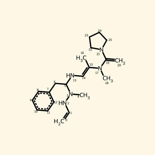 C=CNN(C)C(Cc1ccccc1)N/C=C(\C)N(C)C(=C)N1CCCC1